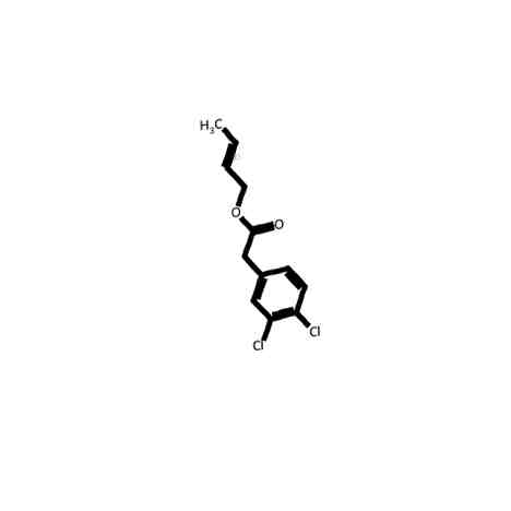 C/C=C/COC(=O)Cc1ccc(Cl)c(Cl)c1